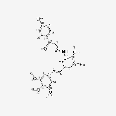 COc1cc(C=Cc2cc(F)c(OC)c(NC=CC(=O)c3ccc(Cl)cc3)c2)cc(OC)c1OC